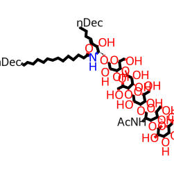 CCCCCCCCCCCCC/C=C/[C@@H](O)[C@H](CO[C@@H]1OC(CO)[C@@H](O[C@@H]2OC(CO)[C@H](O[C@@H]3OC(CO)[C@H](O)[C@H](O[C@@H]4OC(CO)[C@H](O)[C@H](O[C@@H]5OC(CO)[C@H](O)[C@H](O)C5O)C4NC(C)=O)C3O)[C@H](O)C2O)[C@H](O)C1O)NC(=O)CCCCCCCCCCCCCCCCCCCCCCC